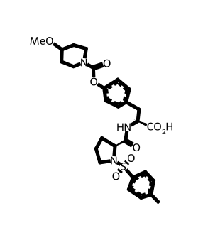 COC1CCN(C(=O)Oc2ccc(C[C@H](NC(=O)[C@@H]3CCCN3S(=O)(=O)c3ccc(C)cc3)C(=O)O)cc2)CC1